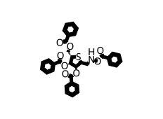 O=C(OC[C@@H]1SC(CNOC(=O)c2ccccc2)[C@@H](OC(=O)c2ccccc2)[C@@H]1OC(=O)c1ccccc1)c1ccccc1